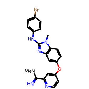 CNC(=N)c1cc(Oc2ccc3c(c2)nc(Nc2ccc(Br)cc2)n3C)ccn1